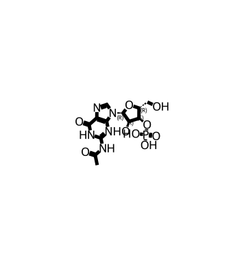 CC(=O)Nc1nc2c(ncn2[C@@H]2O[C@H](CO)[C@@H](OP(=O)(O)O)[C@H]2O)c(=O)[nH]1